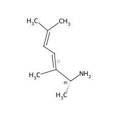 CC(C)=C/C=C(\C)[C@@H](C)N